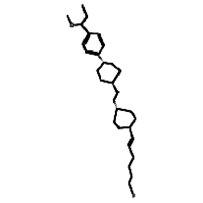 CCC(OC)c1ccc([C@H]2CC[C@H](CC[C@H]3CC[C@H](C=CCCCCF)CC3)CC2)cc1